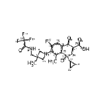 Cc1c(N2CC(C)(CNC(=O)C(F)(F)F)C2)c(F)cc2c1[N+]([O-])(C1CC1)C=C(C(=O)O)C2=O